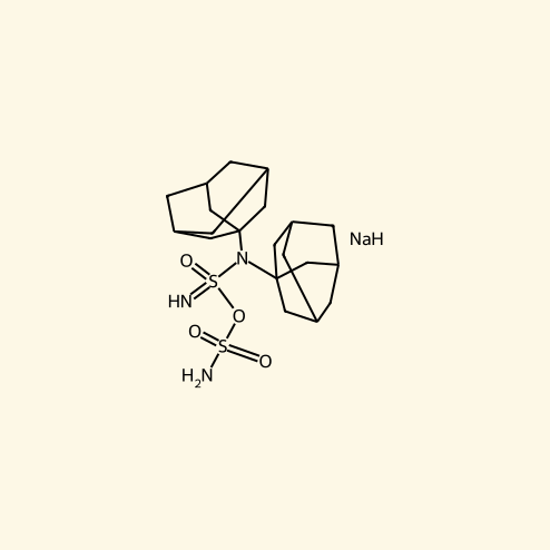 N=S(=O)(OS(N)(=O)=O)N(C12CC3CC(CC(C3)C1)C2)C12CC3CC(CC(C3)C1)C2.[NaH]